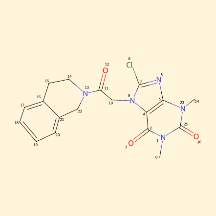 Cn1c(=O)c2c(nc(Cl)n2CC(=O)N2CCc3ccccc3C2)n(C)c1=O